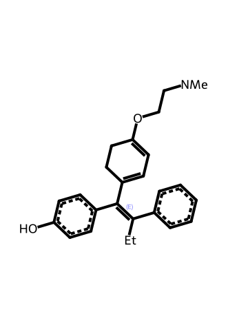 CC/C(=C(/C1=CC=C(OCCNC)CC1)c1ccc(O)cc1)c1ccccc1